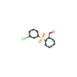 O=Cc1ccccc1S(=O)(=O)c1cccc(Cl)c1